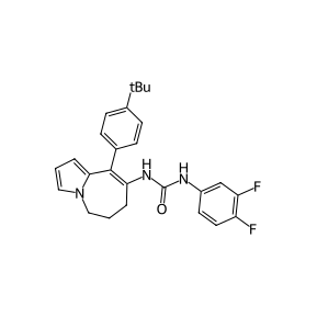 CC(C)(C)c1ccc(C2=C(NC(=O)Nc3ccc(F)c(F)c3)CCCn3cccc32)cc1